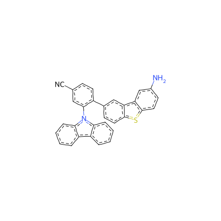 N#Cc1ccc(-c2ccc3sc4ccc(N)cc4c3c2)c(-n2c3ccccc3c3ccccc32)c1